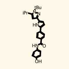 CC(C)c1cc(-c2ccc(-c3ccc(C(=O)Nc4ccc(O)cc4)cc3)[nH]2)nn1C(C)(C)C